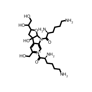 NCCCC[C@H](N)C(=O)N1c2c[n+](C(=O)[C@@H](N)CCCCN)c(CO)cc2C2(O)CC(C(O)CO)OC12